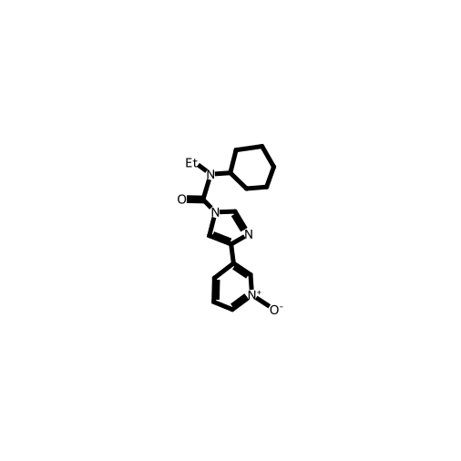 CCN(C(=O)n1cnc(-c2ccc[n+]([O-])c2)c1)C1CCCCC1